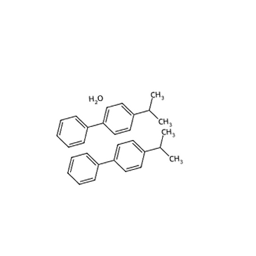 CC(C)c1ccc(-c2ccccc2)cc1.CC(C)c1ccc(-c2ccccc2)cc1.O